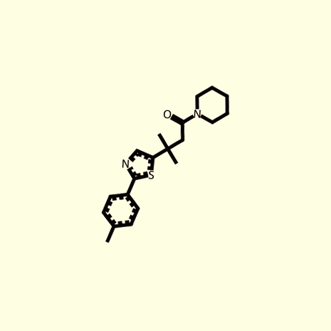 Cc1ccc(-c2ncc(C(C)(C)CC(=O)N3CCCCC3)s2)cc1